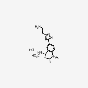 CC(=O)N1c2ccc(-c3cn(CCN)nn3)cc2[C@H](NC(=O)O)C[C@@H]1C.Cl